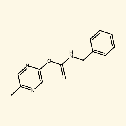 Cc1cnc(OC(=O)NCc2ccccc2)cn1